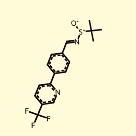 CC(C)(C)[S@+]([O-])/N=C/c1ccc(-c2ccc(C(F)(F)F)cn2)cc1